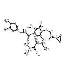 Cc1ccc(CNC(=O)c2nc3n(c(=O)c2O)CCN(C2CC2)CC3N(C)C(=O)C(=O)N(C)C)cc1Cl